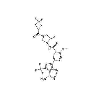 COc1ncc(-c2cc(C(F)(F)F)c3c(N)ncnn23)cc1C(=O)NC1CN(C(=O)C2CC(F)(F)C2)C[C@H]1F